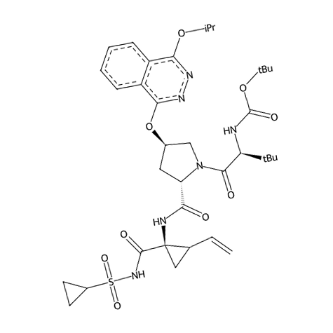 C=CC1C[C@]1(NC(=O)[C@@H]1C[C@@H](Oc2nnc(OC(C)C)c3ccccc23)CN1C(=O)[C@@H](NC(=O)OC(C)(C)C)C(C)(C)C)C(=O)NS(=O)(=O)C1CC1